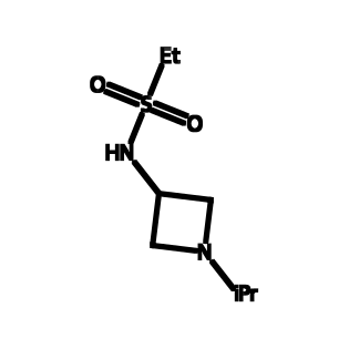 CCS(=O)(=O)NC1CN(C(C)C)C1